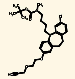 C#CCOCCOc1ccc2c(c1)CCc1ccc(Cl)cc1N2CCCCN(C)C(=O)OC(C)(C)C